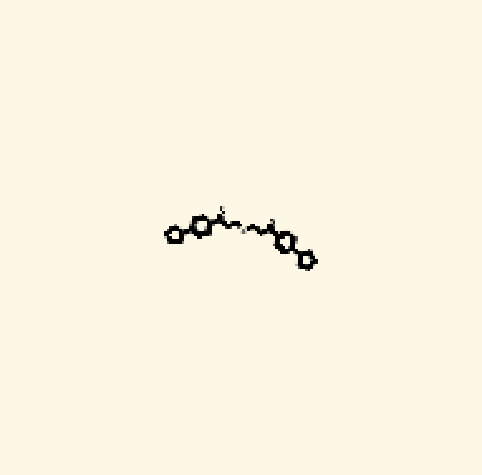 S=C(CCSCCC(=S)c1ccc(C2CCCC2)cc1)c1ccc(C2CCCC2)cc1